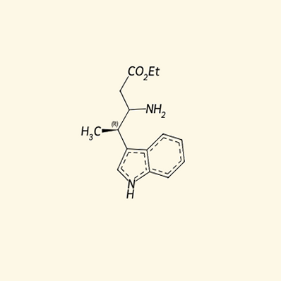 CCOC(=O)CC(N)[C@H](C)c1c[nH]c2ccccc12